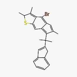 CC1=Cc2c(Br)c3c(cc2=C1C(C)(C)C1=Cc2ccccc2C1)SC(C)C=3C